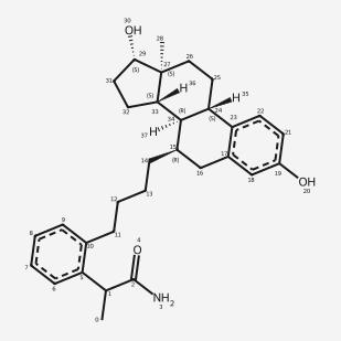 CC(C(N)=O)c1ccccc1CCCC[C@@H]1Cc2cc(O)ccc2[C@H]2CC[C@]3(C)[C@@H](O)CC[C@H]3[C@H]12